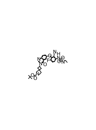 CCN(C)S(=O)(=O)Nc1ccc(F)c(Oc2ccc3ncn(C4CC5(CCN(C(=O)OC(C)(C)C)C5)C4)c(=O)c3c2)c1C#N